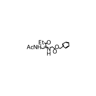 CCC(=O)[C@H](CNC(C)=O)NCC(=O)OCc1ccccc1